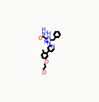 COCCCOc1ccc(C)c(-c2ccnc(N3N=C(C(N)=O)NC3Cc3ccccc3)c2)c1